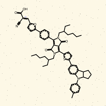 CCCCC(CC)CN1C(=O)C2=C(c3ccc(-c4ccc5c(c4)C4CCCC4N5c4ccc(C)cc4)s3)N(CC(CC)CCCC)C(=O)C2=C1c1ccc(-c2ccc(/C=C(\C#N)C(=O)O)o2)cc1